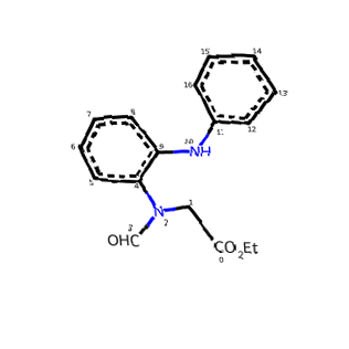 CCOC(=O)CN(C=O)c1ccccc1Nc1ccccc1